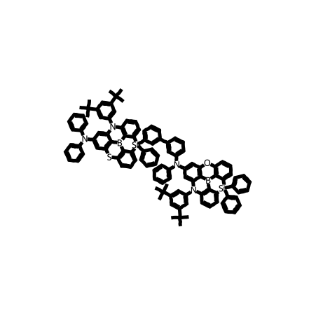 CC(C)(C)c1cc(N2c3cc(N(c4ccccc4)c4cccc(-c5cccc([Si]6(c7ccccc7)c7cccc8c7B7c9c(cc(N(c%10ccccc%10)c%10ccccc%10)cc9N(c9cc(C(C)(C)C)cc(C(C)(C)C)c9)c9cccc6c97)S8)c5)c4)cc4c3B3c5c(cccc5[Si](c5ccccc5)(c5ccccc5)c5cccc2c53)O4)cc(C(C)(C)C)c1